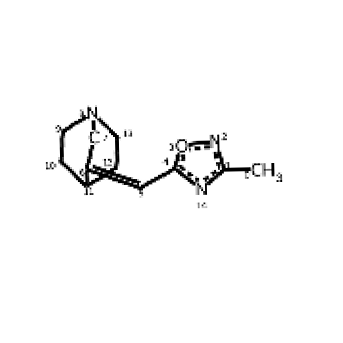 Cc1noc(/C=C2\CN3CCC2CC3)n1